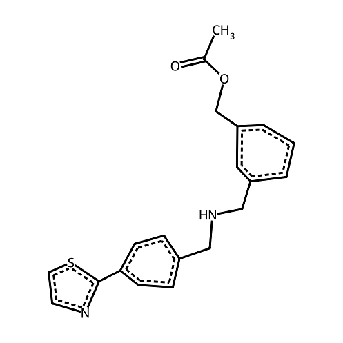 CC(=O)OCc1cccc(CNCc2ccc(-c3nccs3)cc2)c1